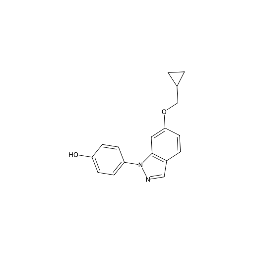 Oc1ccc(-n2ncc3ccc(OCC4CC4)cc32)cc1